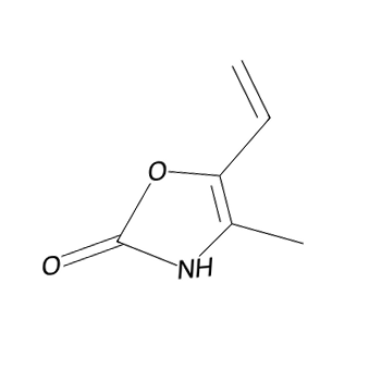 C=Cc1oc(=O)[nH]c1C